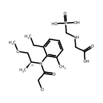 CCc1cccc(C)c1N(C(=O)CCl)[C@@H](C)COC.O=C(O)CNCP(=O)(O)O